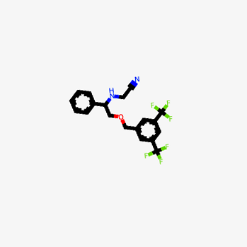 N#CCNC(COCc1cc(C(F)(F)F)cc(C(F)(F)F)c1)c1ccccc1